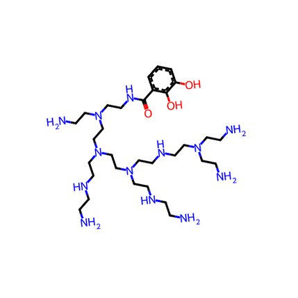 NCCNCCN(CCNCCN(CCN)CCN)CCN(CCNCCN)CCN(CCN)CCNC(=O)c1cccc(O)c1O